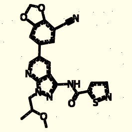 COC(C)Cn1nc(NC(=O)c2ccns2)c2cc(-c3cc(C#N)c4c(c3)OCO4)cnc21